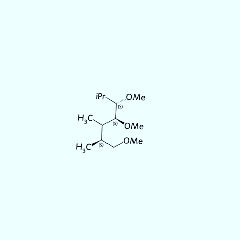 COC[C@@H](C)C(C)[C@H](OC)[C@@H](OC)C(C)C